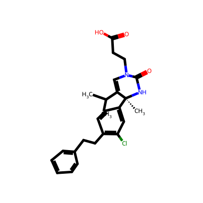 CC(C)C1=CN(CCC(=O)O)C(=O)N[C@@]1(C)c1ccc(CCc2ccccc2)c(Cl)c1